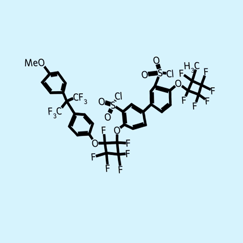 COc1ccc(C(c2ccc(OC3(F)C(F)(F)C(F)(F)C3(F)Oc3ccc(-c4ccc(OC5(F)C(C)(F)C(F)(F)C5(F)F)c(S(=O)(=O)Cl)c4)cc3S(=O)(=O)Cl)cc2)(C(F)(F)F)C(F)(F)F)cc1